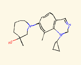 Cc1c(N2CCCC(C)(O)C2)ccc2c1N(C1CC1)CN=C2